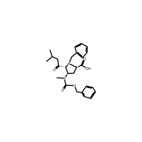 CC(C)CC(=O)[C@H]1[C@H](N(C)C(=O)OCc2ccccc2)C[C@H](C(=O)O)N1Cc1ccccc1